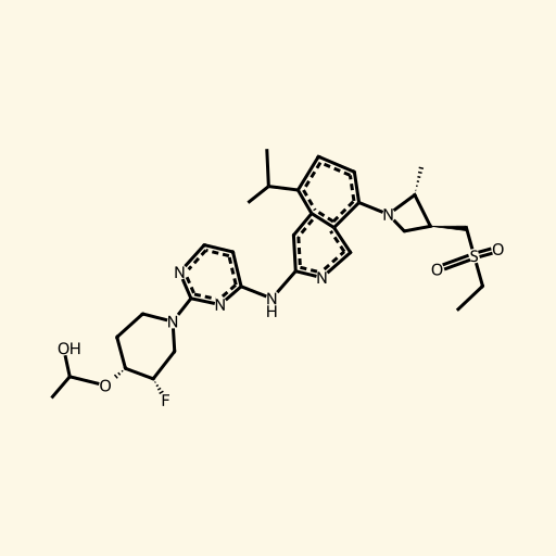 CCS(=O)(=O)C[C@H]1CN(c2ccc(C(C)C)c3cc(Nc4ccnc(N5CC[C@@H](OC(C)O)[C@@H](F)C5)n4)ncc23)[C@@H]1C